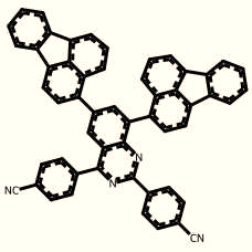 N#Cc1ccc(-c2nc(-c3ccc(C#N)cc3)c3cc(-c4ccc5c6c(cccc46)-c4ccccc4-5)cc(-c4ccc5c6c(cccc46)-c4ccccc4-5)c3n2)cc1